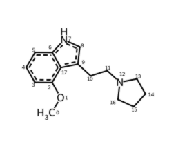 COc1cccc2[nH]cc(CCN3CCCC3)c12